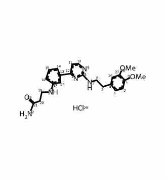 COc1ccc(CCNc2nccc(-c3cccc(NCCC(N)=O)c3)n2)cc1OC.Cl